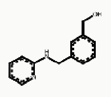 OCc1cccc(CNc2ccccn2)c1